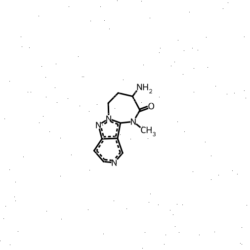 CN1C(=O)C(N)CCn2nc3ccncc3c21